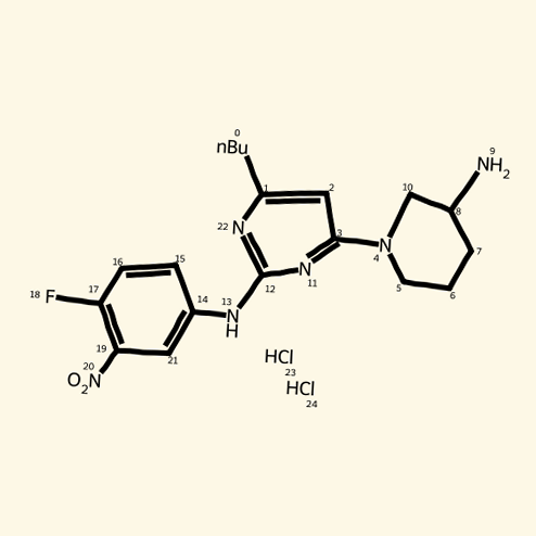 CCCCc1cc(N2CCCC(N)C2)nc(Nc2ccc(F)c([N+](=O)[O-])c2)n1.Cl.Cl